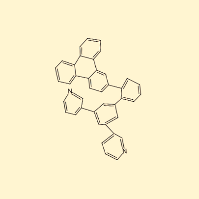 c1cncc(-c2cc(-c3cccnc3)cc(-c3ccccc3-c3ccc4c5ccccc5c5ccccc5c4c3)c2)c1